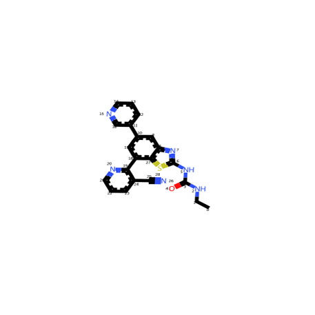 CCNC(=O)Nc1nc2cc(-c3cccnc3)cc(-c3ncccc3C#N)c2s1